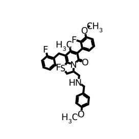 COc1ccc(CNCC2CSc3c(Cc4c(F)cccc4F)c(C)c(-c4cccc(OC)c4F)c(=O)n32)cc1